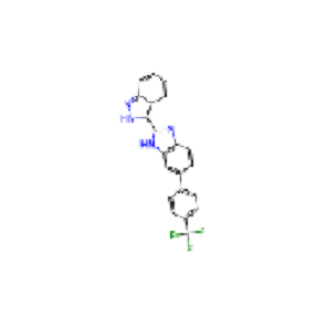 FC(F)(F)c1ccc(-c2ccc3nc(C4NN=C5C=CC=CC54)[nH]c3c2)cc1